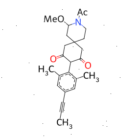 CC#Cc1cc(C)c(C2C(=O)CC3(CCN(C(C)=O)C(OC)C3)CC2=O)c(C)c1